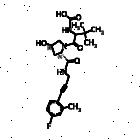 Cc1cc(F)ccc1C#CCNC(=O)[C@@H]1C[C@@H](O)CN1C(=O)C(NC(=O)O)C(C)(C)C